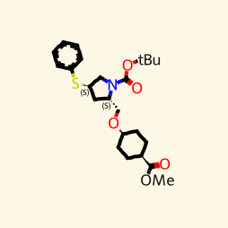 COC(=O)[C@H]1CC[C@H](OC[C@@H]2C[C@H](Sc3ccccc3)CN2C(=O)OC(C)(C)C)CC1